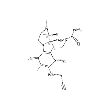 C#CCNC1=C(C)C(=O)C2=C(C1=O)[C@@H](COC(N)=O)[C@@]1(OC)[C@@H]3C(CN21)N3C